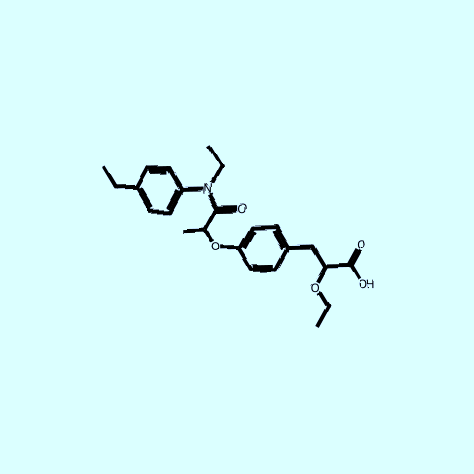 CCOC(Cc1ccc(OC(C)C(=O)N(CC)c2ccc(CC)cc2)cc1)C(=O)O